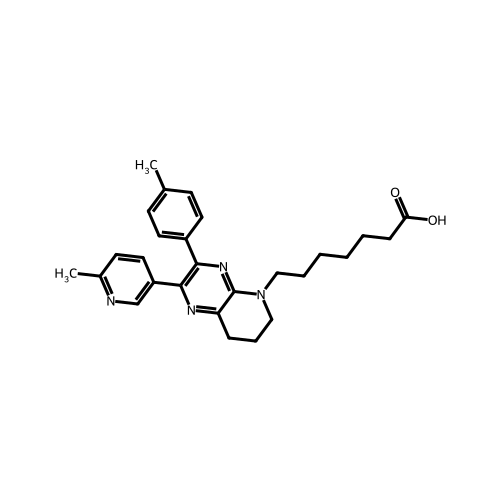 Cc1ccc(-c2nc3c(nc2-c2ccc(C)nc2)CCCN3CCCCCCC(=O)O)cc1